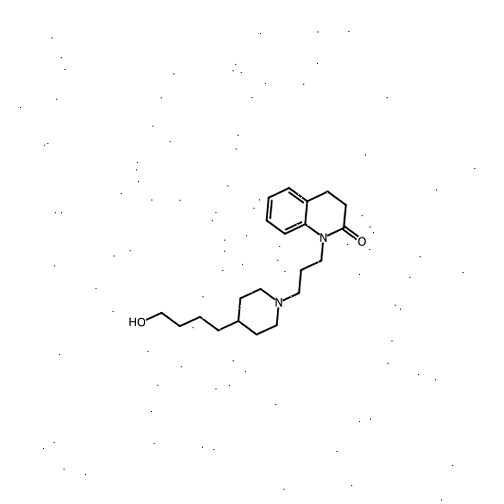 O=C1CCc2ccccc2N1CCCN1CCC(CCCCO)CC1